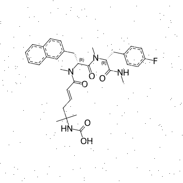 CNC(=O)[C@@H](Cc1ccc(F)cc1)N(C)C(=O)[C@@H](Cc1ccc2ccccc2c1)N(C)C(=O)C=CCC(C)(C)NC(=O)O